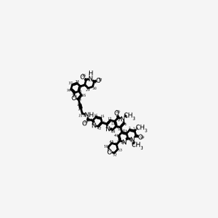 Cc1cc2c(-c3cn(C)c(=O)c4cc(-c5ccc(C(=O)NCC#Cc6cc7c(C8CCC(=O)NC8=O)cccc7o6)nc5)ncc34)cc(C3CCOCC3)nc2n(C)c1=O